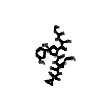 C=C[C@@H]1C[C@]1(NC(=O)[C@@H]1C[C@@](O)(C2C=CC=C(C)C2)CN1C(=O)[C@@H](NC(=O)OC(C)(C)C)C(C)(C)C)C(=O)NS(=O)(=O)C1CC1